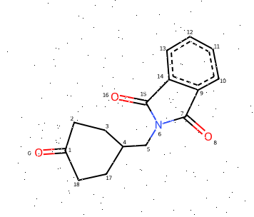 O=C1CCC(CN2C(=O)c3ccccc3C2=O)CC1